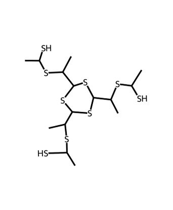 CC(S)SC(C)C1SC(C(C)SC(C)S)SC(C(C)SC(C)S)S1